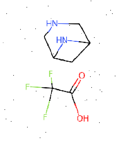 C1NCC2CC1N2.O=C(O)C(F)(F)F